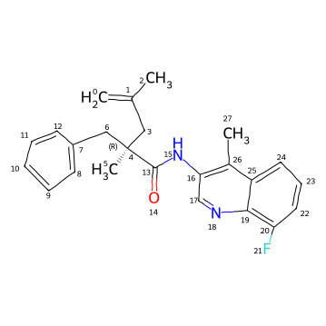 C=C(C)C[C@](C)(Cc1ccccc1)C(=O)Nc1cnc2c(F)cccc2c1C